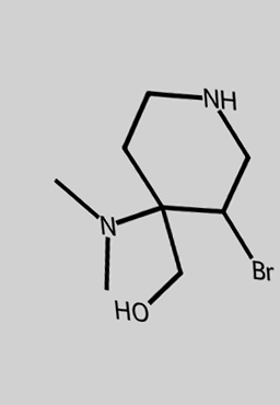 CN(C)C1(CO)CCNCC1Br